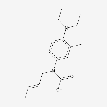 CC=CCN(C(=O)O)c1ccc(N(CC)CC)c(C)c1